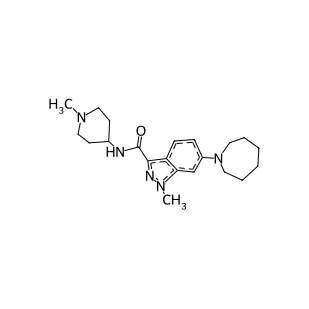 CN1CCC(NC(=O)c2nn(C)c3cc(N4CCCCCC4)ccc23)CC1